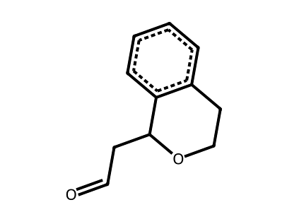 O=CCC1OCCc2ccccc21